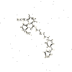 CCOC(=O)C1=C(C)NC(C)=C(C(=O)OCCOCCCc2ccc(Cc3cccnc3)cc2)C1c1cccc([N+](=O)[O-])c1